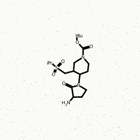 CC(C)S(=O)(=O)CC1CN(C(=O)OC(C)(C)C)CCC1N1CCC(N)C1=O